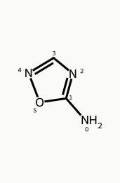 Nc1ncno1